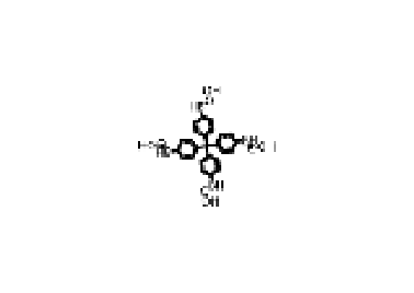 OOBc1ccc(C(c2ccc(BOO)cc2)(c2ccc(BOO)cc2)c2ccc(BOO)cc2)cc1